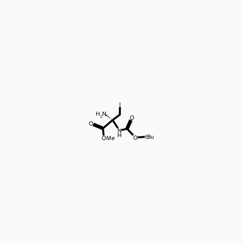 COC(=O)[C@@](N)(CI)NC(=O)OC(C)(C)C